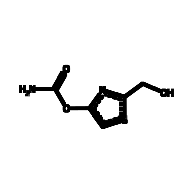 NC(=O)Oc1csc(CO)n1